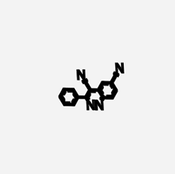 N#Cc1ccc2nnc(-c3ccccc3)c(C#N)c2c1